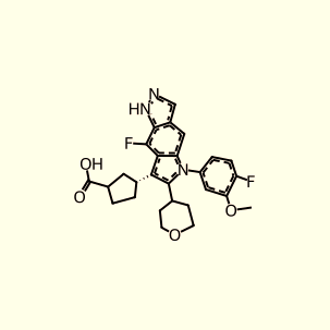 COc1cc(-n2c(C3CCOCC3)c([C@@H]3CCC(C(=O)O)C3)c3c(F)c4[nH]ncc4cc32)ccc1F